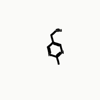 Cc1ncc(CC(C)(C)C)cn1